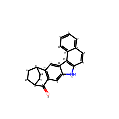 O=C1c2cc3[nH]c4ccc5ccccc5c4c3cc2C2CCC1CC2